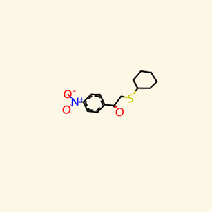 O=C(CSC1CCCCC1)c1ccc([N+](=O)[O-])cc1